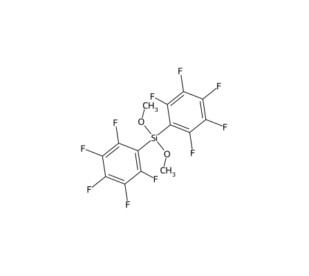 CO[Si](OC)(c1c(F)c(F)c(F)c(F)c1F)c1c(F)c(F)c(F)c(F)c1F